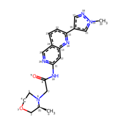 C[C@H]1COCCN1CC(=O)Nc1cc2nc(-c3cnn(C)c3)ccc2cn1